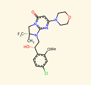 COc1cc(Cl)ccc1[C@H](O)CN1c2nc(N3CCOCC3)cc(=O)n2C[C@@]1(C)C(F)(F)F